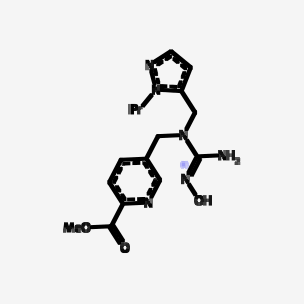 COC(=O)c1ccc(CN(Cc2ccnn2C(C)C)/C(N)=N/O)cn1